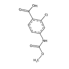 COC(=O)Nc1ccc(C(=O)O)c(Cl)c1